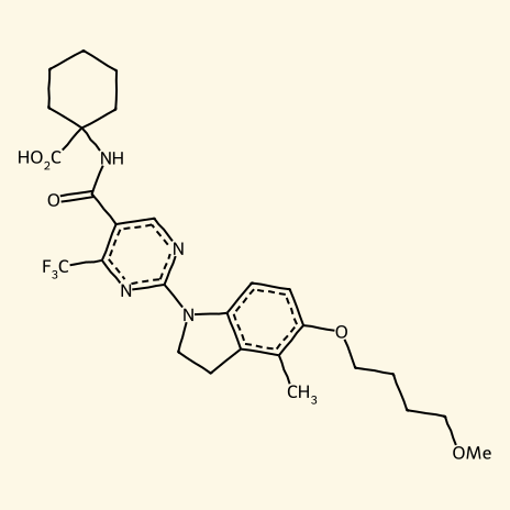 COCCCCOc1ccc2c(c1C)CCN2c1ncc(C(=O)NC2(C(=O)O)CCCCC2)c(C(F)(F)F)n1